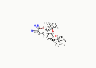 CC(C)(C)[Si](C)(C)Oc1ccc(C=CC=C(C#N)C(N)=O)cc1O[Si](C)(C)C(C)(C)C